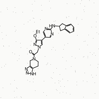 CCOc1nn(CC(=O)N2CCc3[nH]nnc3C2)cc1-c1cnc(NC2Cc3ccccc3C2)nc1